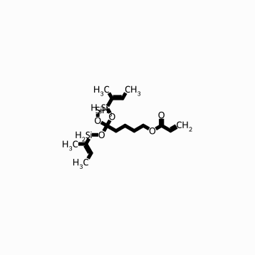 C=CC(=O)OCCCCC(O[SiH3])(O[SiH2]C(C)=CC)O[SiH2]C(C)=CC